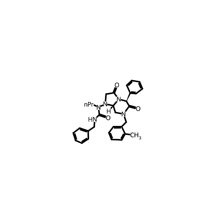 CCCN(C(=O)NCc1ccccc1)N1CC(=O)N2[C@@H](c3ccccc3)C(=O)N(Cc3ccccc3C)C[C@@H]21